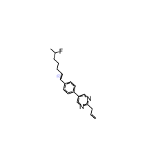 C=CCc1ncc(-c2ccc(/C=C/CCCC(C)F)cc2)cn1